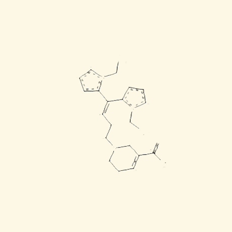 CCn1cccc1C(=CCCN1CCC=C(C(=O)O)C1)c1cccn1CC